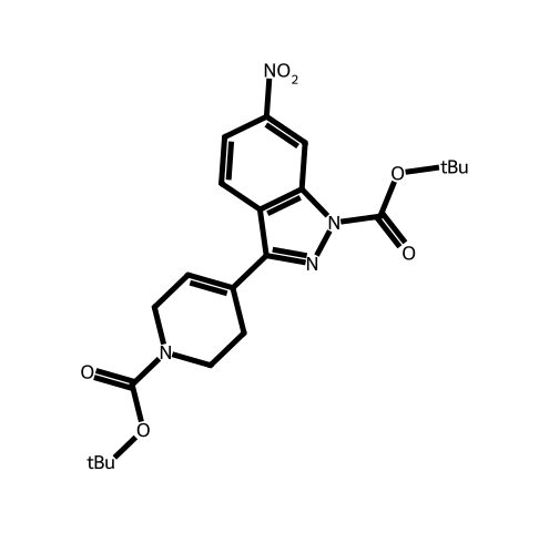 CC(C)(C)OC(=O)N1CC=C(c2nn(C(=O)OC(C)(C)C)c3cc([N+](=O)[O-])ccc23)CC1